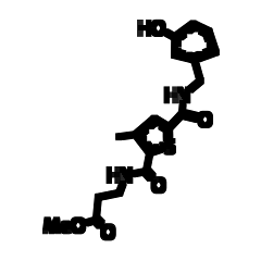 COC(=O)CCNC(=O)c1sc(C(=O)NCc2cccc(O)c2)cc1C